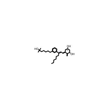 C=C1C(=C/C=C(\CCCCCC)c2cccc(CCCCCC(C)(C)O)c2)C[C@@H](O)C[C@@H]1O